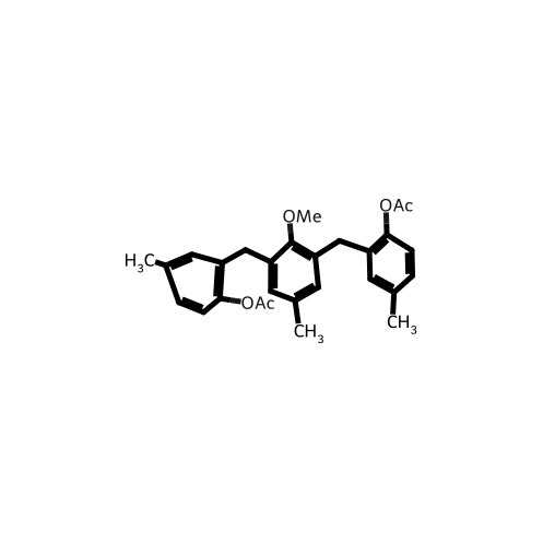 COc1c(Cc2cc(C)ccc2OC(C)=O)cc(C)cc1Cc1cc(C)ccc1OC(C)=O